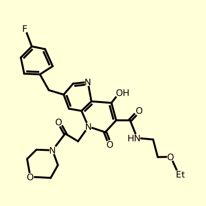 CCOCCNC(=O)c1c(O)c2ncc(Cc3ccc(F)cc3)cc2n(CC(=O)N2CCOCC2)c1=O